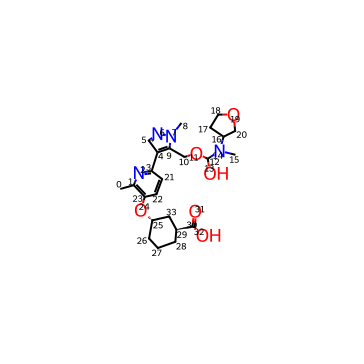 Cc1nc(-c2cnn(C)c2COC(O)N(C)C2CCOC2)ccc1O[C@H]1CCC[C@H](C(=O)O)C1